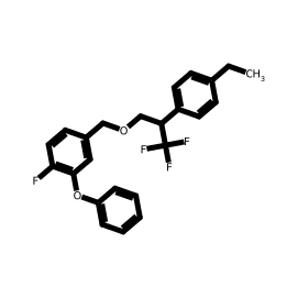 CCc1ccc(C(COCc2ccc(F)c(Oc3ccccc3)c2)C(F)(F)F)cc1